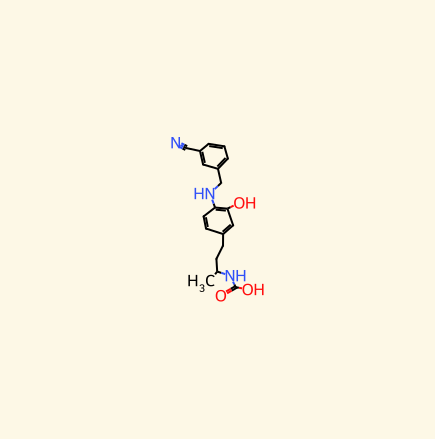 CC(CCc1ccc(NCc2cccc(C#N)c2)c(O)c1)NC(=O)O